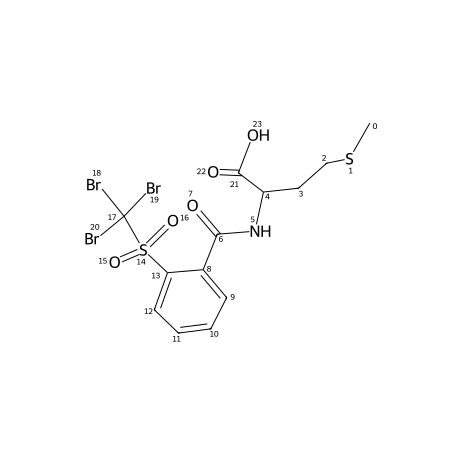 CSCCC(NC(=O)c1ccccc1S(=O)(=O)C(Br)(Br)Br)C(=O)O